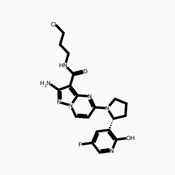 Nc1nn2ccc(N3CCC[C@@H]3c3cc(F)cnc3O)nc2c1C(=O)NCCCCl